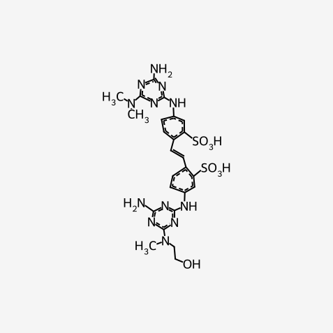 CN(C)c1nc(N)nc(Nc2ccc(/C=C/c3ccc(Nc4nc(N)nc(N(C)CCO)n4)cc3S(=O)(=O)O)c(S(=O)(=O)O)c2)n1